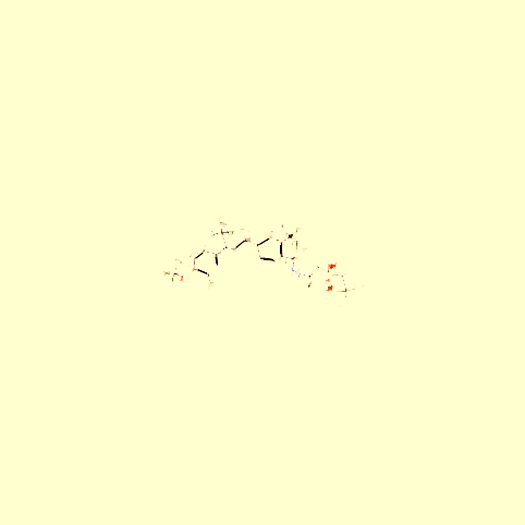 CC(CS(=O)(=O)CC(F)(F)F)NC(=O)c1ccc(/C(F)=C/C(c2ccc(OC(F)(F)F)c(Cl)c2)C(F)(F)F)cc1C(F)(F)F